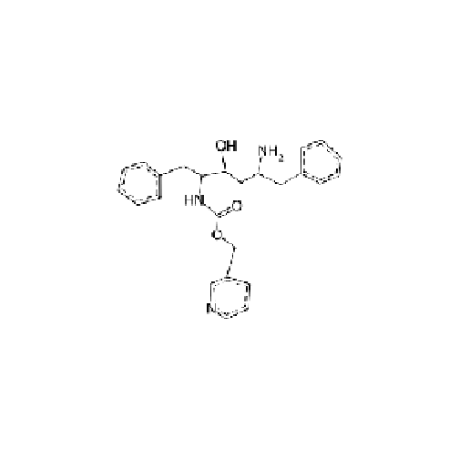 NC(Cc1ccccc1)CC(O)C(Cc1ccccc1)NC(=O)OCc1cccnc1